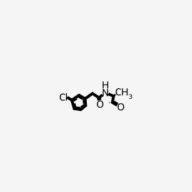 C[C@@H]([C]=O)NC(=O)Cc1cccc(Cl)c1